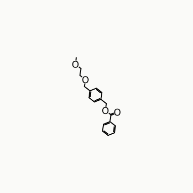 COCCOCc1ccc(COC(=O)c2ccccc2)cc1